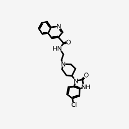 O=C(NCCN1CCC(n2c(=O)[nH]c3cc(Cl)ccc32)CC1)c1cnc2ccccc2c1